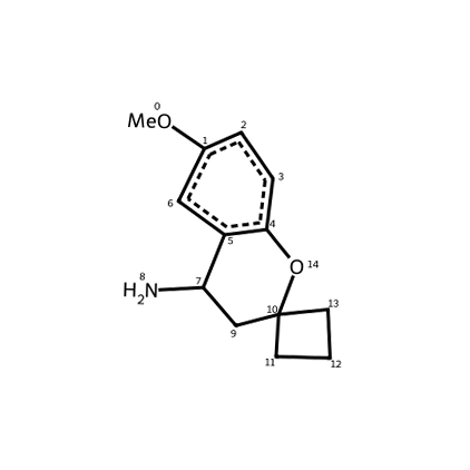 COc1ccc2c(c1)C(N)CC1(CCC1)O2